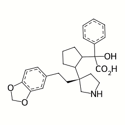 O=C(O)C(O)(c1ccccc1)C1CCCC1[C@]1(CCc2ccc3c(c2)OCO3)CCNC1